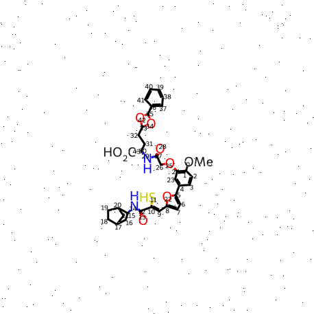 COc1ccc(-c2ccc(/C=C(\S)C(=O)NC3CC4CCC3C4)o2)cc1OCC(=O)N[C@@H](CCC1OC(c2ccccc2)O1)C(=O)O